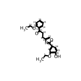 CCOc1cc(-c2nc(CCC(=O)c3ccccc3OCC)co2)ccc1O